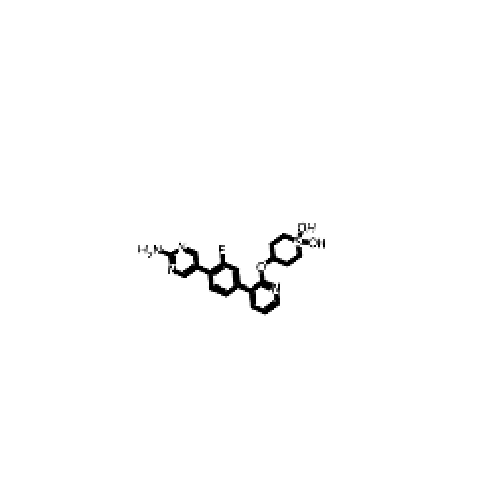 Nc1ncc(-c2ccc(-c3cccnc3OC3CCS(O)(O)CC3)cc2F)cn1